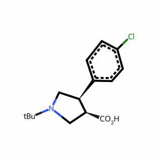 CC(C)(C)N1C[C@H](C(=O)O)[C@H](c2ccc(Cl)cc2)C1